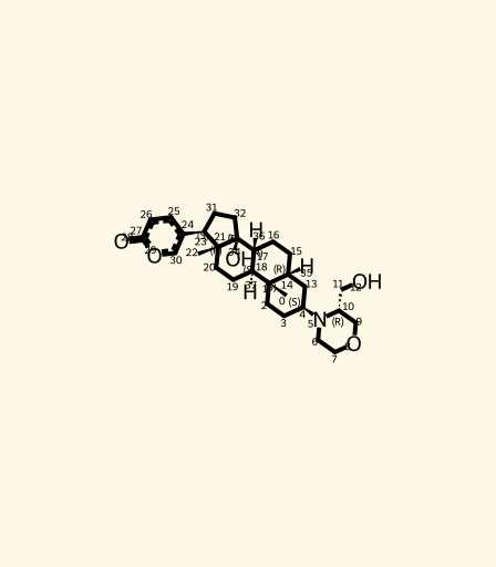 C[C@]12CC[C@H](N3CCOC[C@H]3CO)C[C@H]1CC[C@@H]1[C@@H]2CC[C@]2(C)[C@@H](c3ccc(=O)oc3)CC[C@]12O